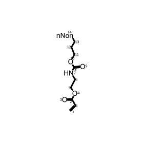 C=CC(=O)OCCNC(=O)OCCCCCCCCCCCC